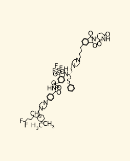 C=C(CCC(F)F)C1=C(CN2CCN(c3ccc(C(=O)NS(=O)(=O)c4ccc(N[C@H](CCN5CCN(CCCCc6ccc7c(c6)C(=O)N(C6CCC(=O)NC6=O)C7=O)CC5)CSc5ccccc5)c(S(=O)(=O)C(F)(F)F)c4)cc3)CC2)CCC(C)(C)C1